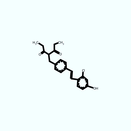 CCC(=O)C(Cc1ccc(C=Cc2ccc(O)cc2Cl)cc1)C(=O)CC